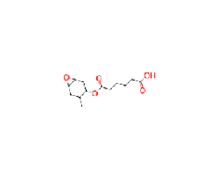 CC1CC2OC2CC1OC(=O)CCCCC(=O)O